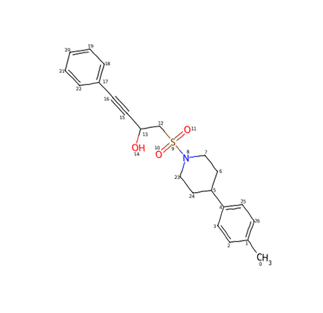 Cc1ccc(C2CCN(S(=O)(=O)CC(O)C#Cc3ccccc3)CC2)cc1